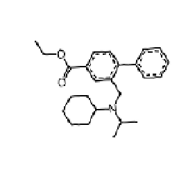 CCOC(=O)c1ccc(-c2ccccc2)c(CN(C(C)C)C2CCCCC2)c1